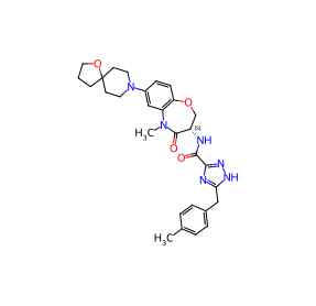 Cc1ccc(Cc2nc(C(=O)N[C@H]3COc4ccc(N5CCC6(CCCO6)CC5)cc4N(C)C3=O)n[nH]2)cc1